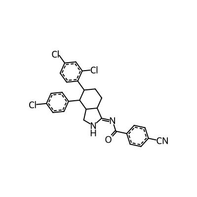 N#Cc1ccc(C(=O)/N=C2\NCC3C2CCC(c2ccc(Cl)cc2Cl)C3c2ccc(Cl)cc2)cc1